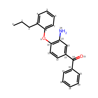 CCCc1ccccc1Oc1ccc(C(=O)c2ccccc2)cc1N